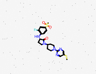 CSc1cnc(N2CCC(N3CC[C@H](Nc4ccc(S(C)(=O)=O)cc4F)C3=O)CC2)nc1